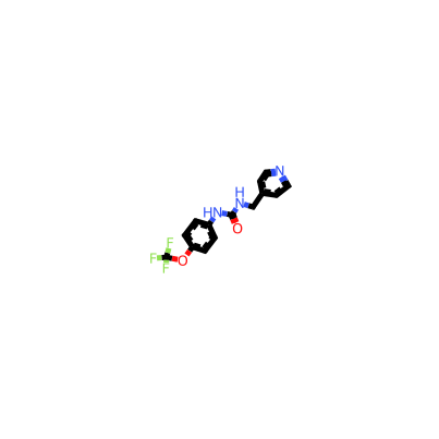 O=C(NCc1ccncc1)Nc1ccc(OC(F)(F)F)cc1